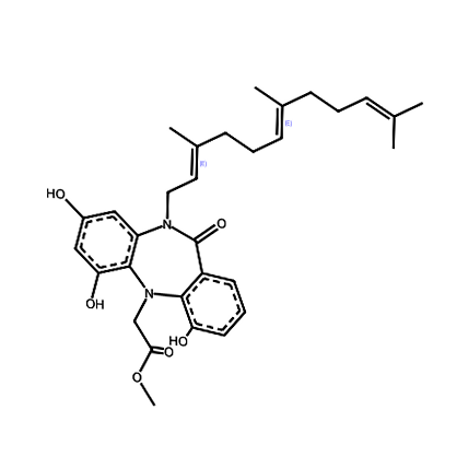 COC(=O)CN1c2c(O)cccc2C(=O)N(C/C=C(\C)CC/C=C(\C)CCC=C(C)C)c2cc(O)cc(O)c21